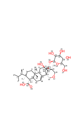 CC(C)[C@@H](C)[C@@]1(C)CC[C@]2(C)[C@H]3CC[C@@H]4[C@@]5(COC[C@]4(C)[C@@H](O[C@@H]4OC(CO)[C@@H](O)[C@H](O)C4O)[C@H](O)C5)C3=CC[C@@]2(C)[C@@H]1C(=O)O